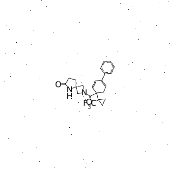 O=C1CCC2(CN(C(=O)C3(C4(C(F)(F)F)CC4)C=CC(c4ccccc4)=CC3)C2)N1